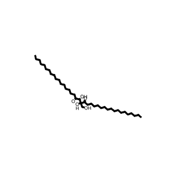 CCCCCCCCCCCCCCCCCC(=O)C(O)C(O)(CO)C(=O)CCCCCCCCCCCCCCCCC